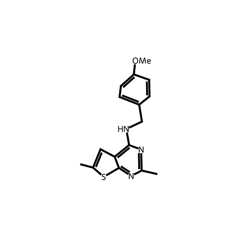 COc1ccc(CNc2nc(C)nc3sc(C)cc23)cc1